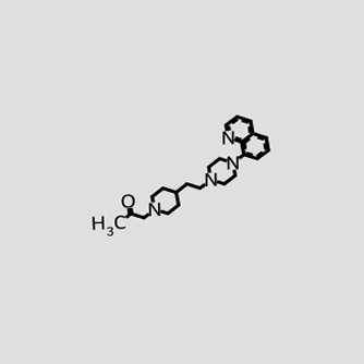 CC(=O)CN1CCC(CCN2CCN(c3cccc4cccnc34)CC2)CC1